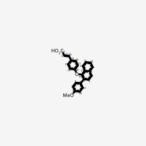 COc1ccc(-c2ccc3ccccc3c2Oc2ccc(/C=C/C(=O)O)cc2)cc1